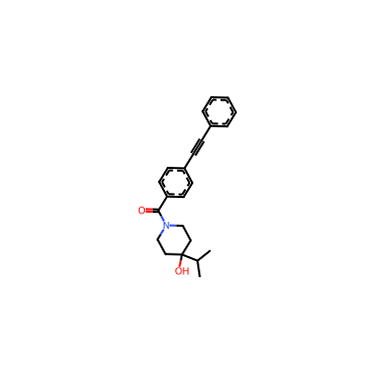 CC(C)C1(O)CCN(C(=O)c2ccc(C#Cc3ccccc3)cc2)CC1